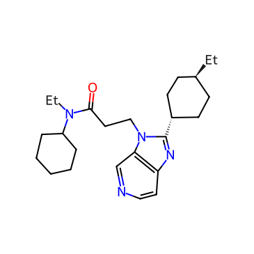 CCN(C(=O)CCn1c2cnccc2nc1[C@H]1CC[C@H](CC)CC1)C1CCCCC1